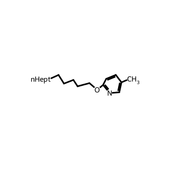 CCCCCCCCCCCCOc1ccc(C)cn1